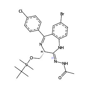 CC(=O)N/N=C1\Nc2ccc(Br)cc2C(c2ccc(Cl)cc2)=N[C@H]1CO[Si](C)(C)C(C)(C)C